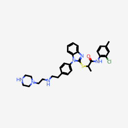 Cc1ccc(NC(=O)C(C)Sc2nc3ccccc3n2-c2ccc(CCNCCN3CCNCC3)cc2)c(Cl)c1